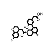 COc1ccc(CC(=O)O)cc1-c1ccc(F)c2c1CN(C(=O)CC1CCOc3cc(F)ccc31)CC2